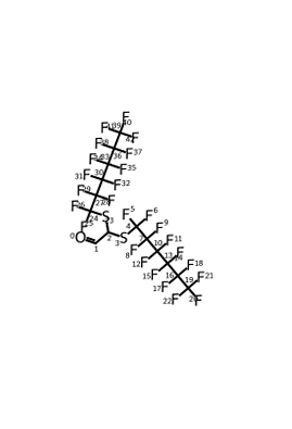 O=CC(SC(F)(F)C(F)(F)C(F)(F)C(F)(F)C(F)(F)C(F)(F)F)SC(F)(F)C(F)(F)C(F)(F)C(F)(F)C(F)(F)C(F)(F)F